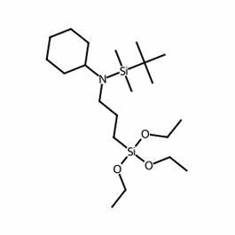 CCO[Si](CCCN(C1CCCCC1)[Si](C)(C)C(C)(C)C)(OCC)OCC